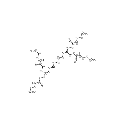 CCCCCCCCCCCCNC(=O)CCN(CCNCCNCCN(CCC(=O)NCCCCCCCCCCCC)CCC(=O)NCCCCCCCCCCCC)CCC(=O)NCCCCCCCCCCCC